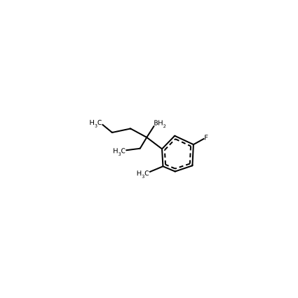 BC(CC)(CCC)c1cc(F)ccc1C